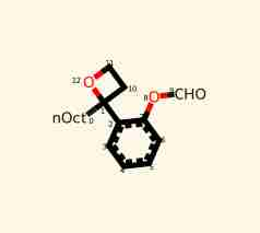 CCCCCCCCC1(c2ccccc2OC=O)CCO1